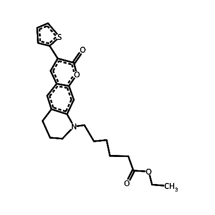 CCOC(=O)CCCCCN1CCCc2cc3cc(-c4cccs4)c(=O)oc3cc21